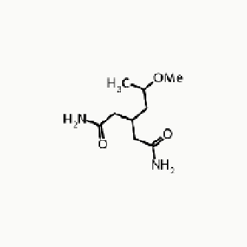 COC(C)CC(CC(N)=O)CC(N)=O